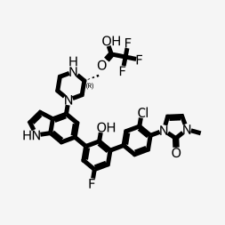 C[C@@H]1CN(c2cc(-c3cc(F)cc(-c4ccc(-n5ccn(C)c5=O)c(Cl)c4)c3O)cc3[nH]ccc23)CCN1.O=C(O)C(F)(F)F